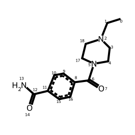 CCN1CCN(C(=O)c2ccc(C(N)=O)cc2)CC1